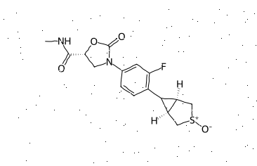 CNC(=O)[C@H]1CN(c2ccc(C3[C@H]4C[S+]([O-])C[C@@H]34)c(F)c2)C(=O)O1